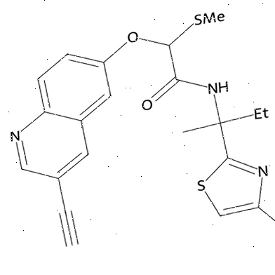 C#Cc1cnc2ccc(OC(SC)C(=O)NC(C)(CC)c3nc(C)cs3)cc2c1